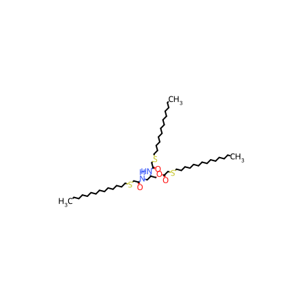 CCCCCCCCCCCCCCSCC(=O)NCC(COC(=O)CSCCCCCCCCCCCCCC)NC(=O)CSCCCCCCCCCCCCCC